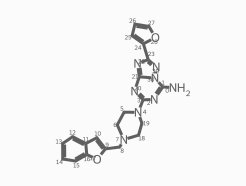 Nc1nc(N2CCN(Cc3cc4ccccc4o3)CC2)nc2nc(-c3ccco3)nn12